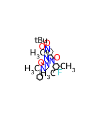 Cc1cc(-n2c(N3CCN(C(C)c4ccccc4)C3=O)nc3c(c2=O)CCN(C(=O)OC(C)(C)C)[C@H]3C)cc(C)c1F